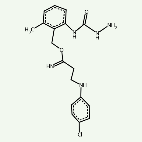 Cc1cccc(NC(=O)NN)c1COC(=N)CCNc1ccc(Cl)cc1